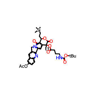 CCC1(OC(=O)CCCNC(=O)OC(C)(C)C)C(=O)OC(CC[Si](C)(C)C)c2c1cc1n(c2=O)Cc2cc3cc(OC(C)=O)ccc3nc2-1